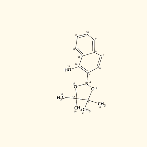 CC1(C)OB(c2ccc3ccccc3c2O)OC1(C)C